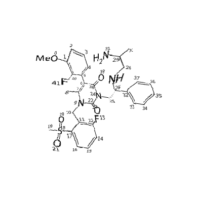 COc1cccc(-c2c(C)n(Cc3c(F)cccc3S(C)(=O)=O)c(=O)n(C[C@H](NCC(C)N)c3ccccc3)c2=O)c1F